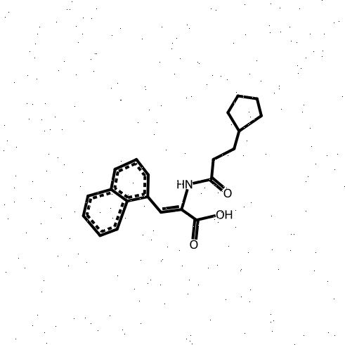 O=C(CCC1CCCC1)N/C(=C\c1cccc2ccccc12)C(=O)O